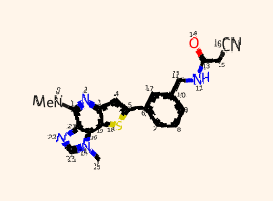 CNc1nc2cc(-c3cccc(CNC(=O)CC#N)c3)sc2c2c1ncn2C